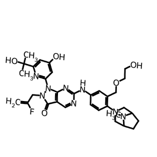 C=C(F)Cn1c(=O)c2cnc(Nc3ccc(N4CC5CCC(C4)N5C)c(COCCO)c3)nc2n1-c1cc(O)cc(C(C)(C)O)n1